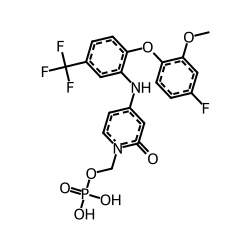 COc1cc(F)ccc1Oc1ccc(C(F)(F)F)cc1Nc1ccn(COP(=O)(O)O)c(=O)c1